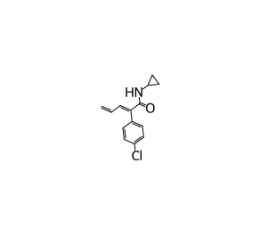 C=C/C=C(/C(=O)NC1CC1)c1ccc(Cl)cc1